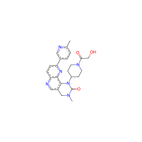 Cc1ccc(-c2ccc3ncc4c(c3n2)N(C2CCN(C(=O)CO)CC2)C(=O)N(C)C4)cn1